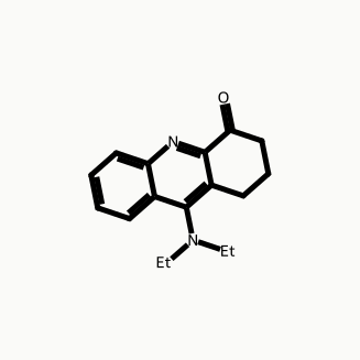 CCN(CC)c1c2c(nc3ccccc13)C(=O)CCC2